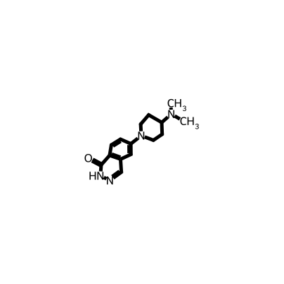 CN(C)C1CCN(c2ccc3c(=O)[nH]ncc3c2)CC1